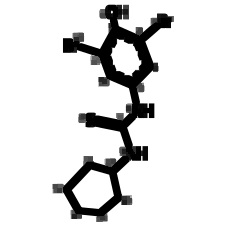 Oc1c(Br)cc(NC(=S)NC2CCCCC2)cc1Br